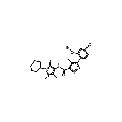 CCOc1cc(Cl)ccc1-c1onc(C(=O)Nc2c(C)n(C)n(C3CCCCC3)c2=O)c1C